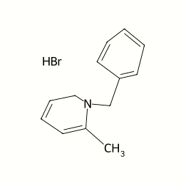 Br.CC1=CC=CCN1Cc1ccccc1